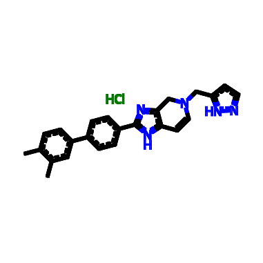 Cc1ccc(-c2ccc(-c3nc4c([nH]3)C=CN(Cc3ccn[nH]3)C4)cc2)cc1C.Cl